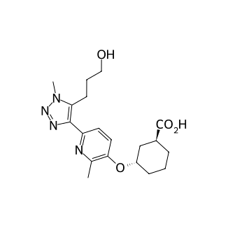 Cc1nc(-c2nnn(C)c2CCCO)ccc1O[C@H]1CCC[C@H](C(=O)O)C1